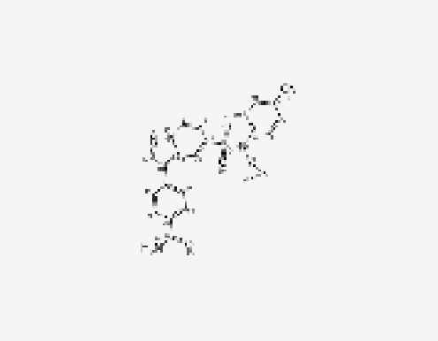 N#Cc1ccc(N(C2CC2)S(=O)(=O)c2ccn3ncc(-c4ccc(C(N)=O)cc4)c3c2)nc1